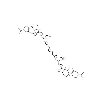 CC(C)C1CCC2=C(CCC3C(C)(C(=O)OCC(O)COCCOCCOCC(O)COC(=O)C4(C)CCCC5(C)C6=C(CCC45)CC(C(C)C)CC6)CCCC23C)C1